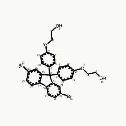 OCCOc1ccc(C2(c3ccc(OCCO)cc3)c3cc(Br)ccc3-c3ccc(Br)cc32)cc1